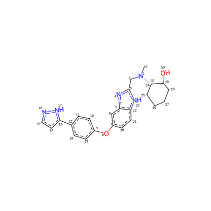 CN(Cc1nc2cc(Oc3ccc(-c4ccn[nH]4)cc3)ccc2[nH]1)[C@H]1CCCCC1O